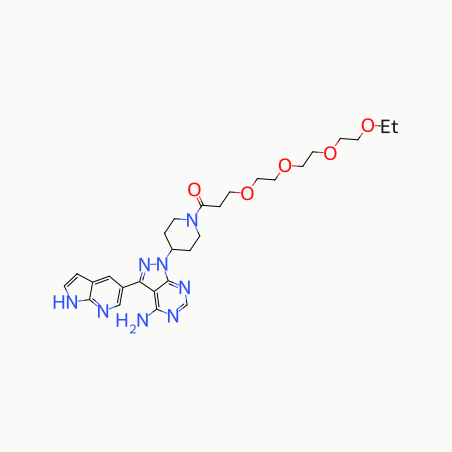 CCOCCOCCOCCOCCC(=O)N1CCC(n2nc(-c3cnc4[nH]ccc4c3)c3c(N)ncnc32)CC1